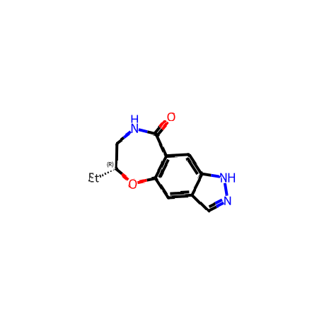 CC[C@@H]1CNC(=O)c2cc3[nH]ncc3cc2O1